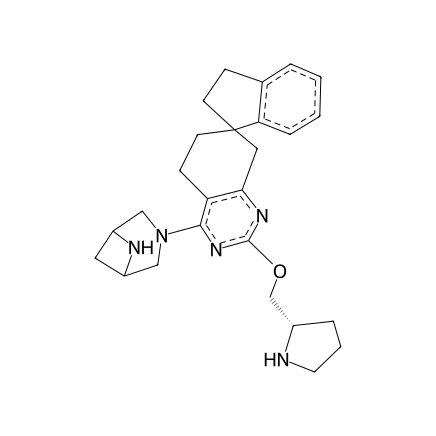 c1ccc2c(c1)CCC21CCc2c(nc(OC[C@@H]3CCCN3)nc2N2CC3CC(C2)N3)C1